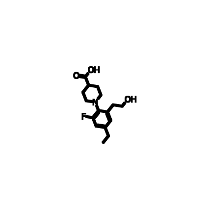 CCc1cc(F)c(N2CCC(C(=O)O)CC2)c(CCO)c1